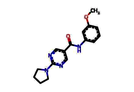 COc1cccc(NC(=O)c2cnc(N3CCCC3)nc2)c1